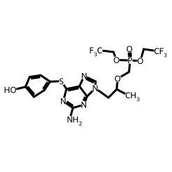 CC(Cn1cnc2c(Sc3ccc(O)cc3)nc(N)nc21)OCP(=O)(OCC(F)(F)F)OCC(F)(F)F